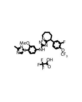 COc1cc(Nc2nc3n(n2)CCCCC3c2ccc(OC(F)(F)F)c(F)c2)ccc1-n1cnc(C)n1.O=C(O)C(F)(F)F